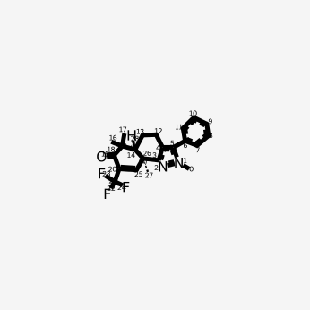 Cn1nc2c(c1-c1ccccc1)CC[C@H]1C(C)(C)C(=O)C(C(F)(F)F)=C[C@]21C